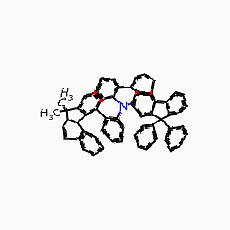 CC1(C)c2cccc(-c3ccccc3N(c3ccc4c(c3)C(c3ccccc3)(c3ccccc3)c3ccccc3-4)c3ccccc3-c3ccccc3)c2C2c3ccccc3C=CC21